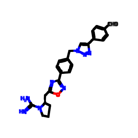 N=C(N)N1CCCC1Cc1nc(-c2ccc(Cn3cc(-c4ccc(C=O)cc4)nn3)cc2)no1